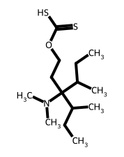 CCC(C)C(CCOC(=S)S)(C(C)CC)N(C)C